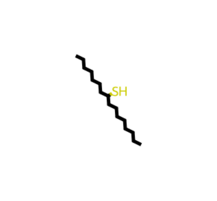 CCCCCCCCC(S)CCCCCCC